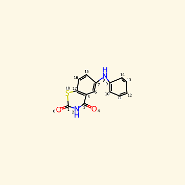 O=c1[nH]c(=O)c2cc(Nc3ccccc3)ccc2s1